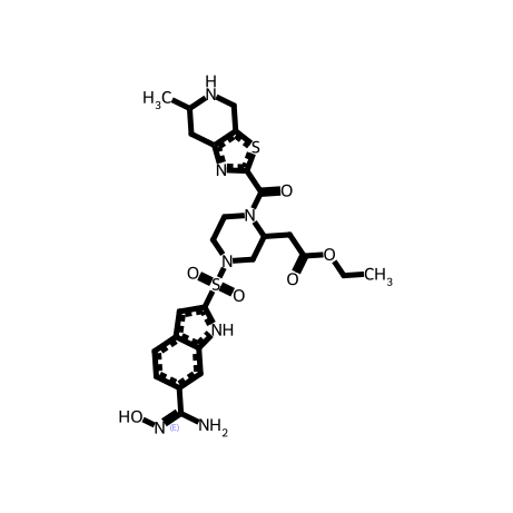 CCOC(=O)CC1CN(S(=O)(=O)c2cc3ccc(/C(N)=N\O)cc3[nH]2)CCN1C(=O)c1nc2c(s1)CNC(C)C2